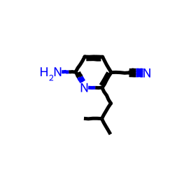 CC(C)Cc1nc(N)ccc1C#N